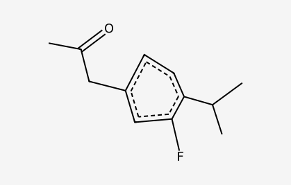 CC(=O)Cc1ccc(C(C)C)c(F)c1